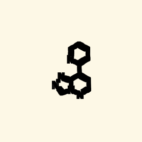 c1ccc(-c2ccnn3cnnc23)nc1